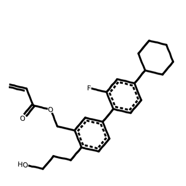 C=CC(=O)OCc1cc(-c2ccc(C3CCCCC3)cc2F)ccc1CCCO